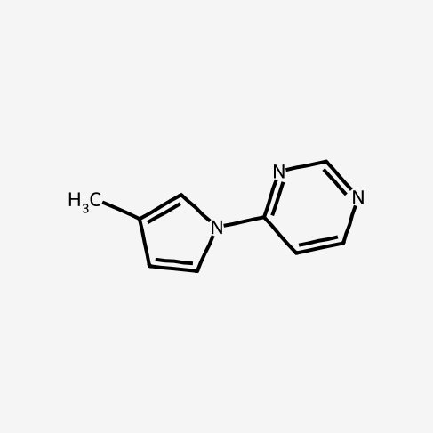 Cc1ccn(-c2ccncn2)c1